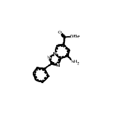 COC(=O)c1cc(N)c2nc(-c3ccccc3)nn2c1